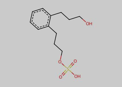 O=S(=O)(O)OCCCc1ccccc1CCCO